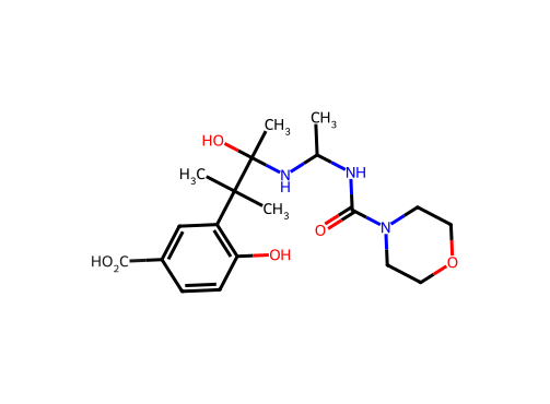 CC(NC(=O)N1CCOCC1)NC(C)(O)C(C)(C)c1cc(C(=O)O)ccc1O